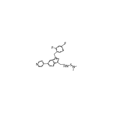 CN(C)SNCCc1cn(Cc2ccc(F)cc2F)c2cc(-c3ccncc3)ccc12